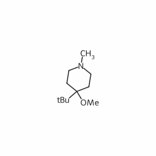 COC1(C(C)(C)C)CCN(C)CC1